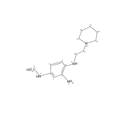 Nc1cc(NC(=O)O)ccc1NCCN1CCCCC1